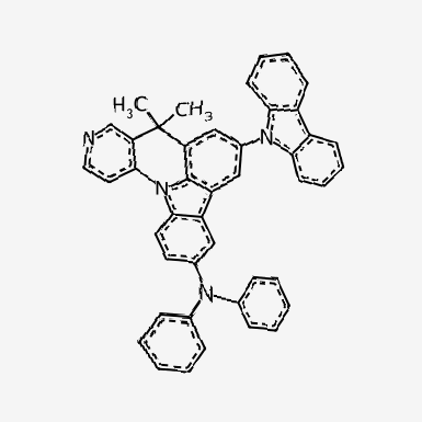 CC1(C)c2cnccc2-n2c3ccc(N(c4ccccc4)c4ccccc4)cc3c3cc(-n4c5ccccc5c5ccccc54)cc1c32